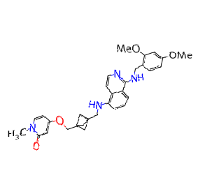 COc1ccc(CNc2nccc3c(NCC45CC(COc6ccn(C)c(=O)c6)(C4)C5)cccc23)c(OC)c1